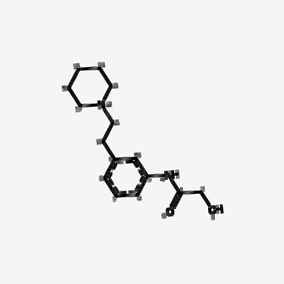 O=C(CO)Nc1cccc(CCN2CCCCC2)c1